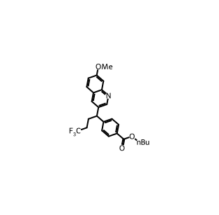 CCCCOC(=O)c1ccc(C(CCC(F)(F)F)c2cnc3cc(OC)ccc3c2)cc1